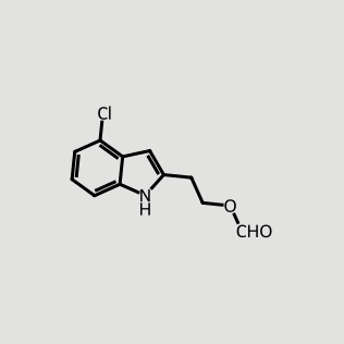 O=COCCc1cc2c(Cl)cccc2[nH]1